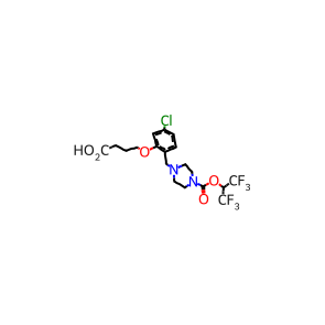 O=C(O)CCCOc1cc(Cl)ccc1CN1CCN(C(=O)OC(C(F)(F)F)C(F)(F)F)CC1